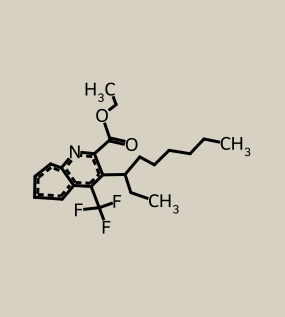 CCCCCCC(CC)c1c(C(=O)OCC)nc2ccccc2c1C(F)(F)F